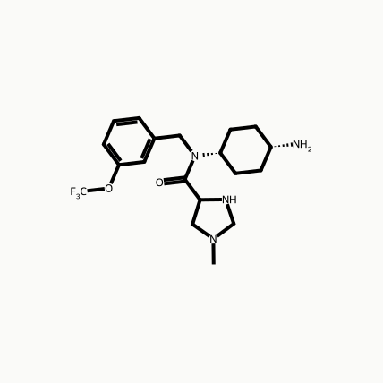 CN1CNC(C(=O)N(Cc2cccc(OC(F)(F)F)c2)[C@H]2CC[C@@H](N)CC2)C1